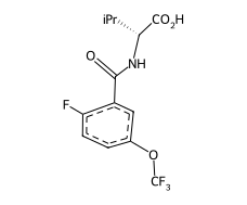 CC(C)[C@@H](NC(=O)c1cc(OC(F)(F)F)ccc1F)C(=O)O